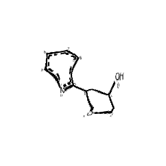 OC1COC1c1ccccn1